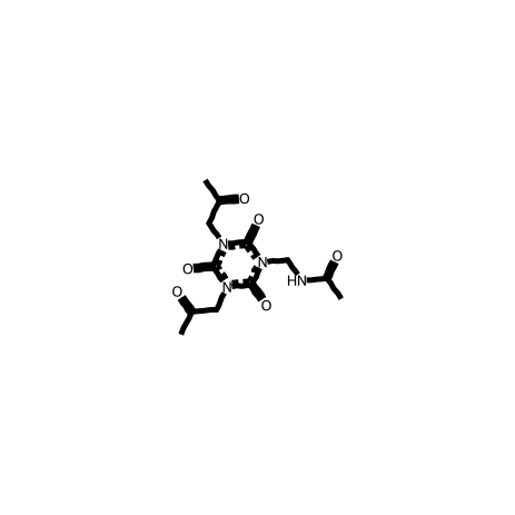 CC(=O)Cn1c(=O)n(CNC(C)=O)c(=O)n(CC(C)=O)c1=O